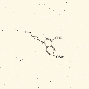 COc1ccc2c(c1)c(C=O)cn2CCCCI